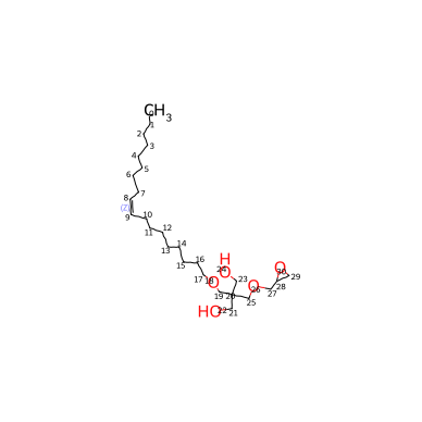 CCCCCCCC/C=C\CCCCCCCCOCC(CO)(CO)COCC1CO1